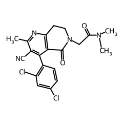 Cc1nc2c(c(-c3ccc(Cl)cc3Cl)c1C#N)C(=O)N(CC(=O)N(C)C)CC2